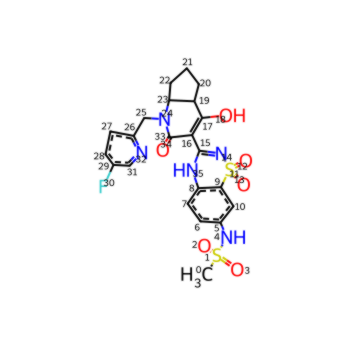 CS(=O)(=O)Nc1ccc2c(c1)S(=O)(=O)N=C(C1=C(O)C3CCCC3N(Cc3ccc(F)cn3)C1=O)N2